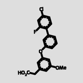 COc1cc(CC(=O)O)cc(Oc2cccc(-c3ccc(Cl)cc3F)c2)c1